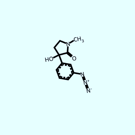 CN1CCC(O)(c2cccc(N=[N+]=[N-])c2)C1=O